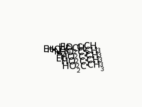 CC(=O)O.CC(=O)O.CC(=O)O.CC(=O)O.CC(=O)O.CC(=O)O.CCN(CC)CC